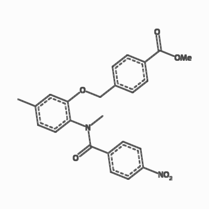 COC(=O)c1ccc(COc2cc(C)ccc2N(C)C(=O)c2ccc([N+](=O)[O-])cc2)cc1